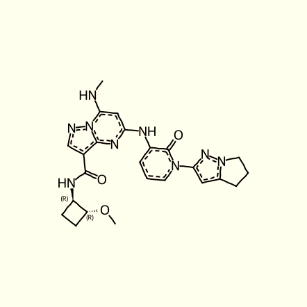 CNc1cc(Nc2cccn(-c3cc4n(n3)CCC4)c2=O)nc2c(C(=O)N[C@@H]3CC[C@H]3OC)cnn12